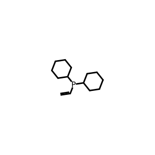 C=CP(C1CCCCC1)C1CCCCC1